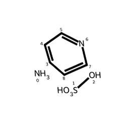 N.O=S(=O)(O)O.c1ccncc1